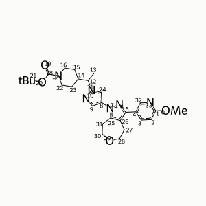 COc1ccc(-c2nn(-c3cnn(C(C)C4CCN(C(=O)OC(C)(C)C)CC4)c3)c3c2CCOCC3)cn1